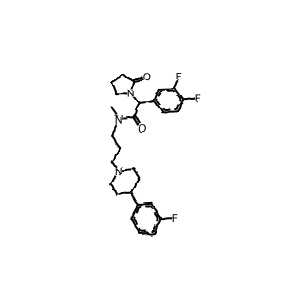 CN(CCCN1CCC(c2cccc(F)c2)CC1)C(=O)C(c1ccc(F)c(F)c1)N1CCCC1=O